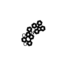 c1ccc(N(c2ccc(-c3cccc4oc5ccc6oc7ccccc7c6c5c34)cc2)c2ccc3c(c2)C(c2ccccc2)(c2ccccc2)c2ccccc2-3)cc1